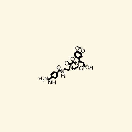 N=C(N)c1ccc(C(=O)NCCN2CCN(C(CC(=O)O)c3ccc4c(c3)OCO4)C(=O)C2=O)cc1